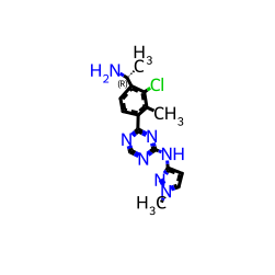 Cc1c(-c2ncnc(Nc3ccn(C)n3)n2)ccc([C@@H](C)N)c1Cl